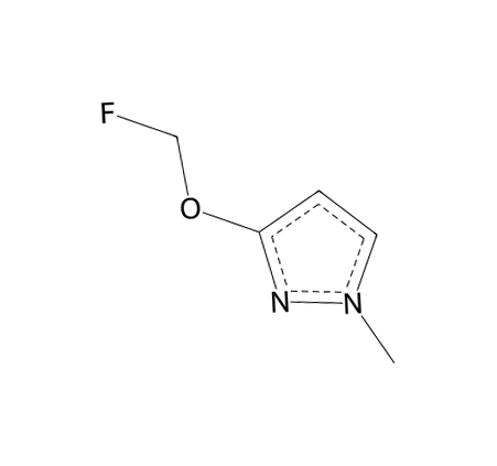 Cn1ccc(OCF)n1